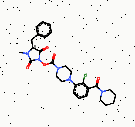 CN1C(=O)N(OC(=O)N2CCN(c3cccc(C(=O)N4CCCCC4)c3Cl)CC2)C(=O)[C@@H]1Cc1ccccc1